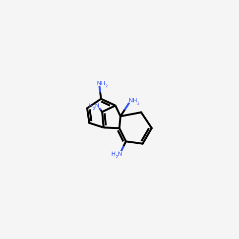 NC1=C2c3ccc(N)c(c3N)C2(N)CC=C1